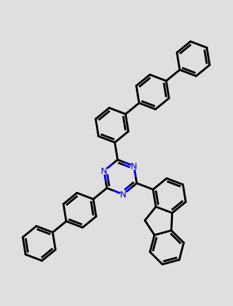 c1ccc(-c2ccc(-c3cccc(-c4nc(-c5ccc(-c6ccccc6)cc5)nc(-c5cccc6c5Cc5ccccc5-6)n4)c3)cc2)cc1